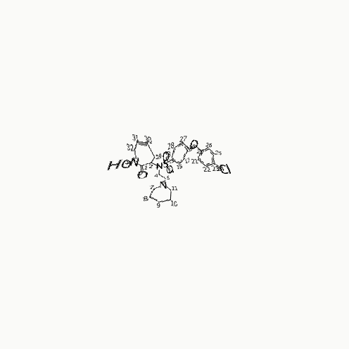 O=C1C(N(CCN2CCCCC2)S(=O)(=O)c2ccc(Oc3ccc(Cl)cc3)cc2)CC=CCN1O